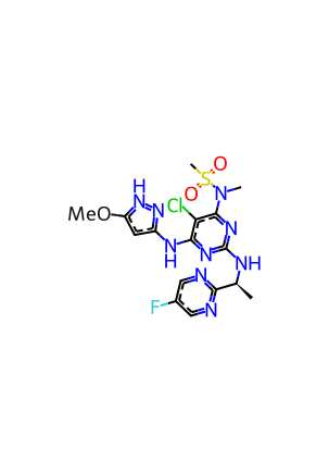 COc1cc(Nc2nc(N[C@@H](C)c3ncc(F)cn3)nc(N(C)S(C)(=O)=O)c2Cl)n[nH]1